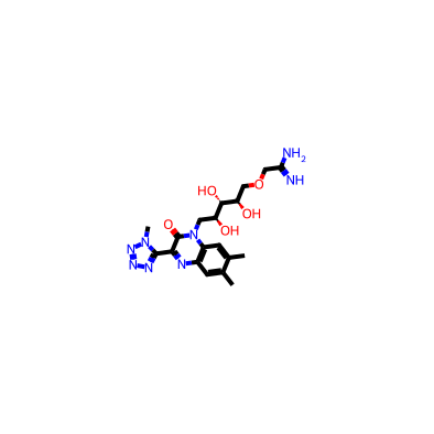 Cc1cc2nc(-c3nnnn3C)c(=O)n(C[C@H](O)[C@H](O)[C@H](O)COCC(=N)N)c2cc1C